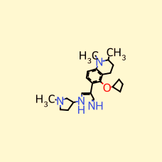 CC1CCc2c(ccc(/C(C=N)=C/NC3CCN(C)C3)c2OC2CCC2)N1C